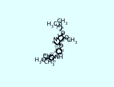 CCN(CC)CCOc1cc2nccc(Oc3ccc(Nc4ccc(C(C)(C)C)cc4)cc3)c2cc1OC